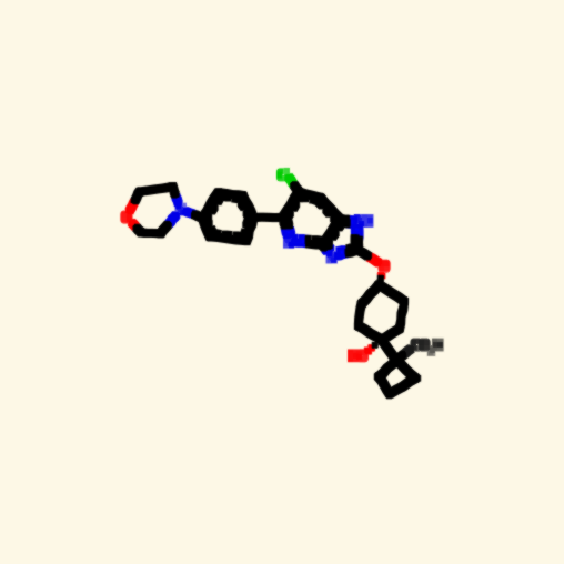 O=C(O)C1([C@]2(O)CC[C@@H](Oc3nc4nc(-c5ccc(N6CCOCC6)cc5)c(Cl)cc4[nH]3)CC2)CCC1